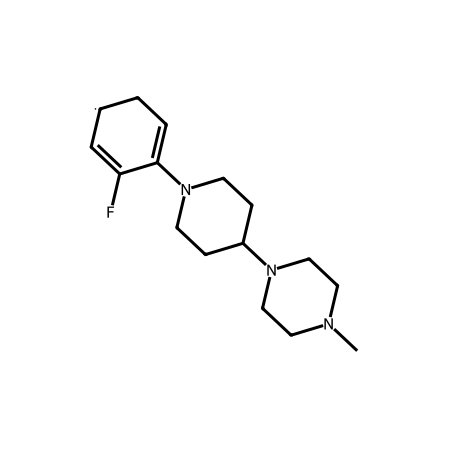 CN1CCN(C2CCN(C3=CC[CH]C=C3F)CC2)CC1